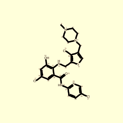 CN1CCN(Cc2csc(CNc3c(O)cc(Cl)cc3C(=O)Nc3ccc(Cl)cn3)c2Cl)CC1